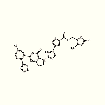 Cc1oc(=O)oc1COC(=O)c1cc(-c2cnc([C@@H]3CCc4nc(-c5cc(Cl)ccc5-n5cnnn5)cc(=O)n43)[nH]2)cs1